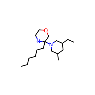 CCCCCCC1(N2CC(C)CC(CC)C2)COCC[N]1